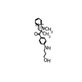 CN(C)C(C)(Cc1ccccc1)C(=O)c1ccc(NCCCO)cc1